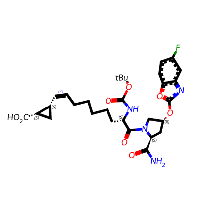 CC(C)(C)OC(=O)N[C@@H](CCCCC/C=C\[C@@H]1C[C@@H]1C(=O)O)C(=O)N1C[C@H](Oc2nc3cc(F)ccc3o2)C[C@H]1C(N)=O